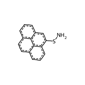 NSc1cc2cccc3ccc4cccc1c4c32